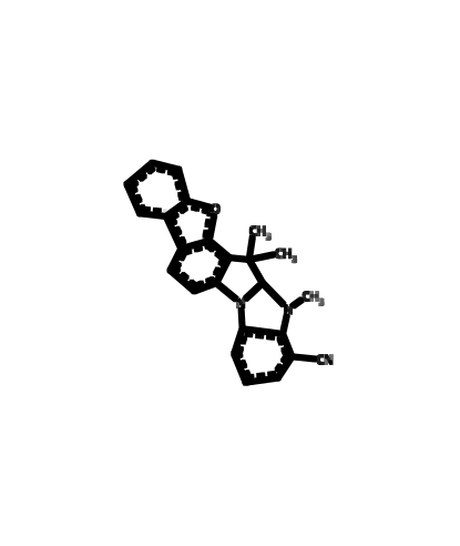 CN1c2c(C#N)cccc2N2c3ccc4c(oc5ccccc54)c3C(C)(C)C12